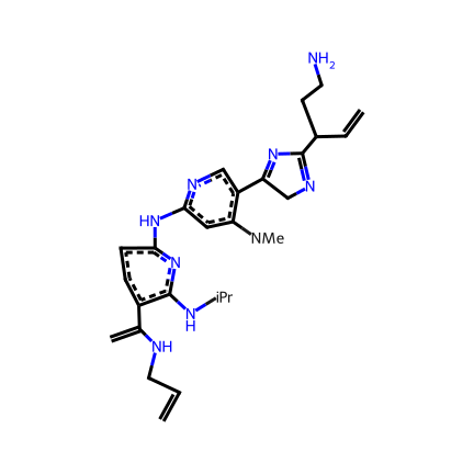 C=CCNC(=C)c1ccc(Nc2cc(NC)c(C3=NC(C(C=C)CCN)=NC3)cn2)nc1NC(C)C